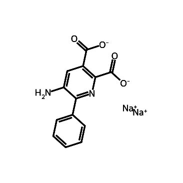 Nc1cc(C(=O)[O-])c(C(=O)[O-])nc1-c1ccccc1.[Na+].[Na+]